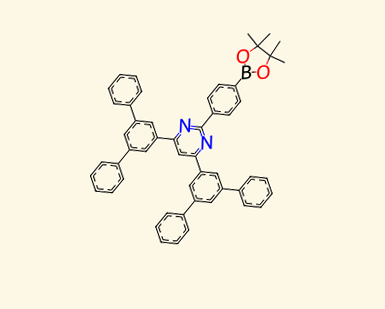 CC1(C)OB(c2ccc(-c3nc(-c4cc(-c5ccccc5)cc(-c5ccccc5)c4)cc(-c4cc(-c5ccccc5)cc(-c5ccccc5)c4)n3)cc2)OC1(C)C